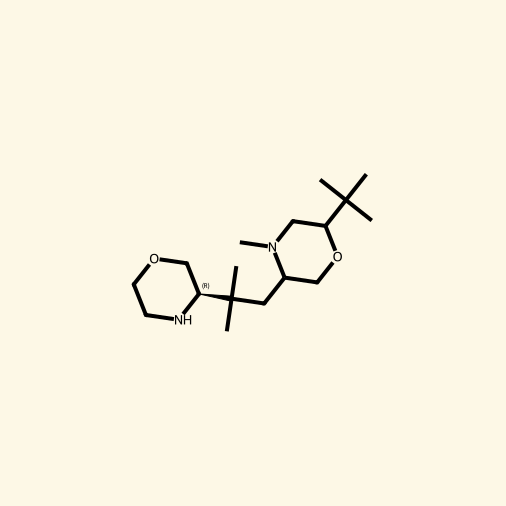 CN1CC(C(C)(C)C)OCC1CC(C)(C)[C@@H]1COCCN1